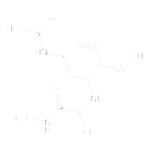 CNC(=O)C(C)Nc1cc(NC(C)=O)ccc1OC